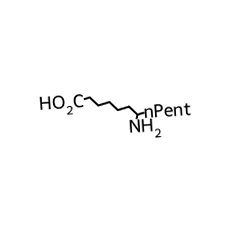 CCCCCC(N)CCCCCC(=O)O